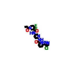 C=CC(=O)N1CCC(F)(F)C(C(=O)Nc2ccc(NC(=O)c3cccc(-c4[nH]ncc4Cl)n3)nc2)C1